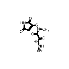 CCCNNC(=O)C(=O)N(C)SC1=CC(=O)NC1=O